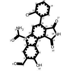 NC(=O)n1c2cc([C]=O)c(O)cc2c2c3c(c(-c4ccccc4Cl)cc21)C(=O)NC3=O